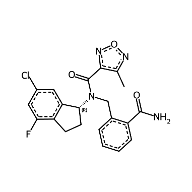 Cc1nonc1C(=O)N(Cc1ccccc1C(N)=O)[C@@H]1CCc2c(F)cc(Cl)cc21